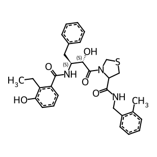 CCc1c(O)cccc1C(=O)N[C@@H](Cc1ccccc1)[C@H](O)C(=O)N1CSCC1C(=O)NCc1ccccc1C